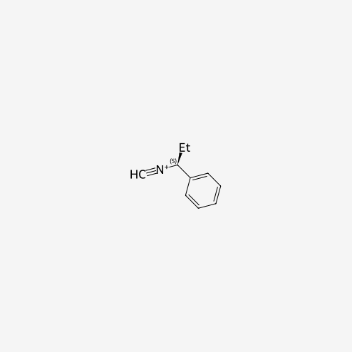 C#[N+][C@@H](CC)c1ccccc1